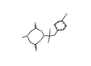 CN1CC(=O)OB(C(F)(F)Cc2ccc(Cl)cc2)OC(=O)C1